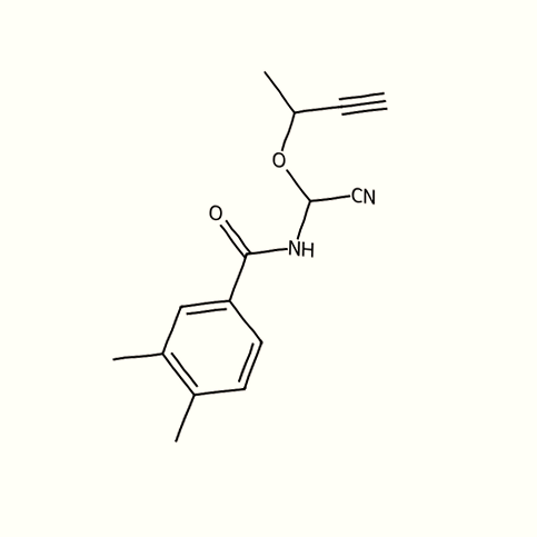 C#CC(C)OC(C#N)NC(=O)c1ccc(C)c(C)c1